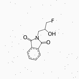 O=C1c2ccccc2C(=O)N1CC(O)CF